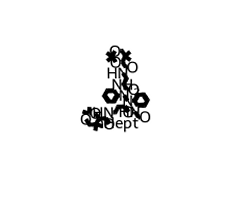 CCCCCCCC(=O)Nc1ccccc1N(C(=O)CCNC(=O)C1OC(C)(C)OCC1(C)C)N(C(=O)CCNC(=O)C1OC(C)(C)OCC1(C)C)c1ccccc1N